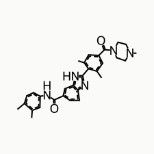 Cc1ccc(NC(=O)c2ccc3nc(-c4c(C)cc(C(=O)N5CCN(C)CC5)cc4C)[nH]c3c2)cc1C